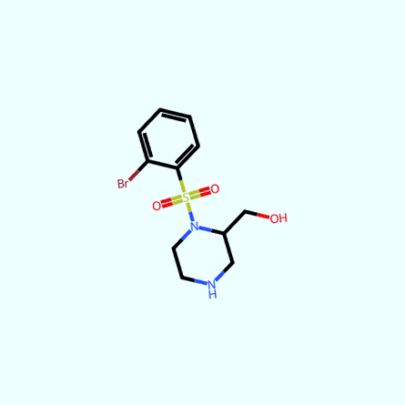 O=S(=O)(c1ccccc1Br)N1CCNCC1CO